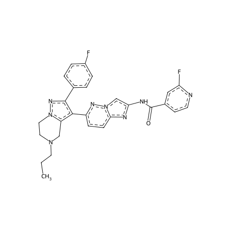 CCCN1CCn2nc(-c3ccc(F)cc3)c(-c3ccc4nc(NC(=O)c5ccnc(F)c5)cn4n3)c2C1